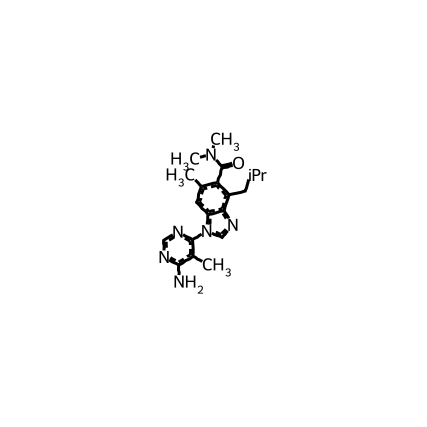 Cc1cc2c(ncn2-c2ncnc(N)c2C)c(CC(C)C)c1C(=O)N(C)C